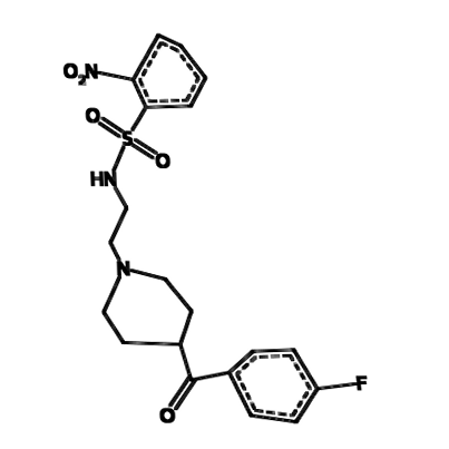 O=C(c1ccc(F)cc1)C1CCN(CCNS(=O)(=O)c2ccccc2[N+](=O)[O-])CC1